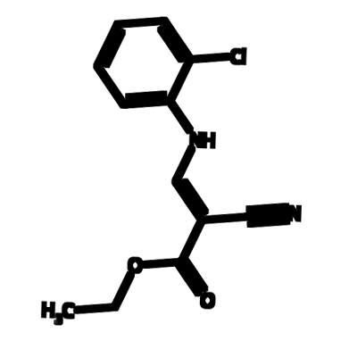 CCOC(=O)/C(C#N)=C/Nc1ccccc1Cl